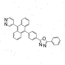 c1ccc(-c2nnc(-c3ccc(-c4c5ccccc5c(-c5ccnnc5)c5ccccc45)cc3)o2)cc1